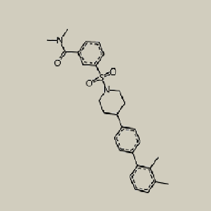 Cc1cccc(-c2ccc(C3CCN(S(=O)(=O)c4cccc(C(=O)N(C)C)c4)CC3)cc2)c1C